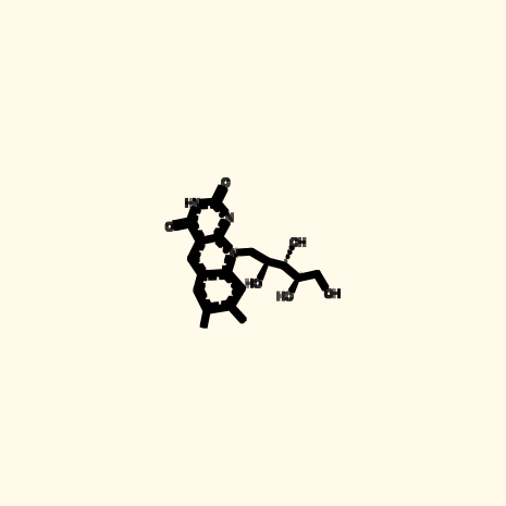 Cc1cc2cc3c(=O)[nH]c(=O)nc-3n(C[C@H](O)[C@H](O)[C@H](O)CO)c2cc1C